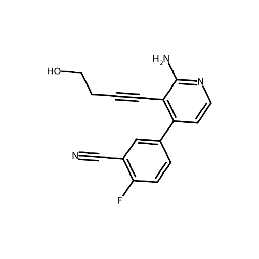 N#Cc1cc(-c2ccnc(N)c2C#CCCO)ccc1F